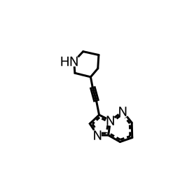 C(#CC1CCCNC1)c1cnc2cccnn12